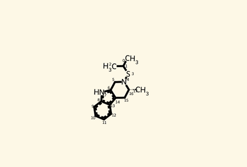 CC(C)SN1Cc2[nH]c3ccccc3c2C[C@H]1C